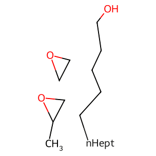 C1CO1.CC1CO1.CCCCCCCCCCCCO